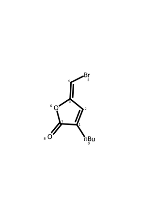 CCCCC1=CC(=CBr)OC1=O